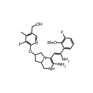 COc1c(F)cccc1/C(N)=C/C1=C(N)NCC2CC(Oc3ncc(CO)c(C)c3F)CN12